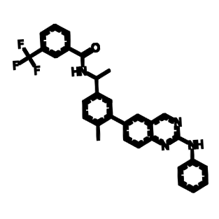 Cc1ccc(C(C)NC(=O)c2cccc(C(F)(F)F)c2)cc1-c1ccc2nc(Nc3ccccc3)ncc2c1